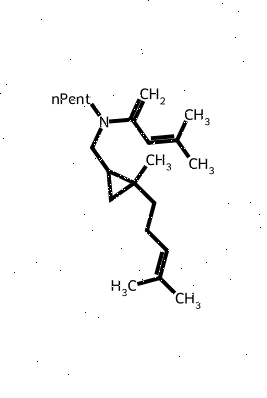 C=C(C=C(C)C)N(CCCCC)CC1CC1(C)CCC=C(C)C